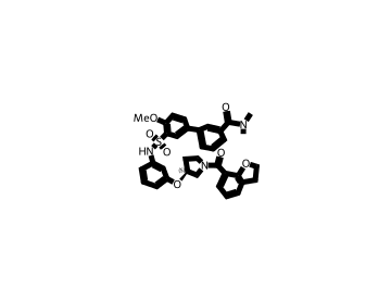 COc1ccc(-c2cccc(C(=O)N(C)C)c2)cc1S(=O)(=O)Nc1cccc(O[C@H]2CCN(C(=O)c3cccc4c3OCC4)C2)c1